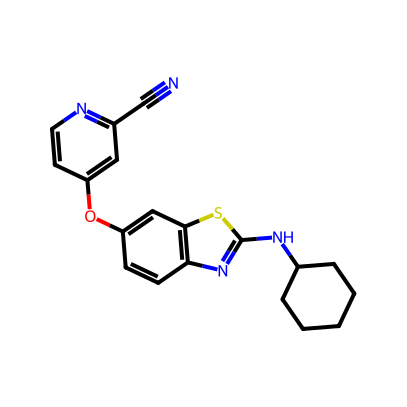 N#Cc1cc(Oc2ccc3nc(NC4CCCCC4)sc3c2)ccn1